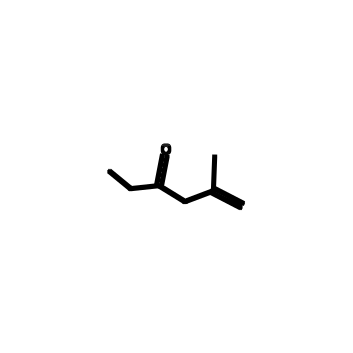 C=C(C)CC(=O)CC